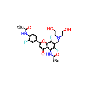 CC(C)(C)C(=O)Nc1ccc(-c2cc(=O)c3c(NC(=O)C(C)(C)C)c(F)c(CN(CCO)CCO)c(F)c3o2)cc1F